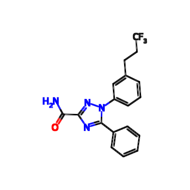 NC(=O)c1nc(-c2ccccc2)n(-c2cccc(CCC(F)(F)F)c2)n1